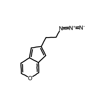 [N-]=[N+]=NCCc1cc2ccocc-2c1